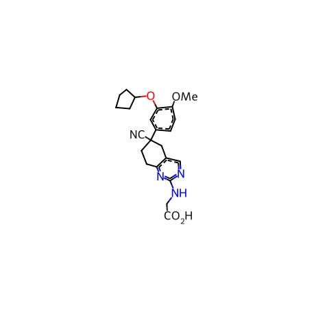 COc1ccc(C2(C#N)CCc3nc(NCC(=O)O)ncc3C2)cc1OC1CCCC1